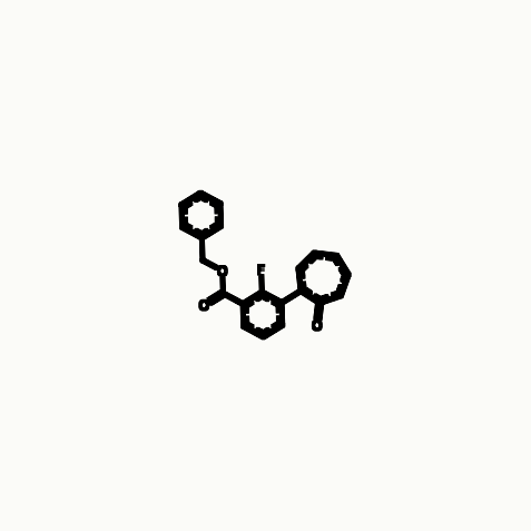 O=C(OCc1ccccc1)c1cccc(-c2cccccc2=O)c1F